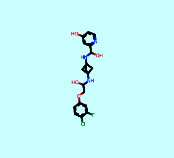 Oc1ccnc(C(O)NC23CC(NC(O)COc4ccc(Cl)c(F)c4)(C2)C3)c1